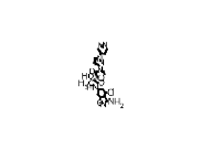 CC(O)(C(=O)Nc1cc(Cl)c2c(N)noc2c1)[C@H]1OCCN(c2ccn(-c3ccnnc3)n2)C1=O